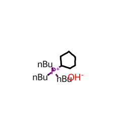 CCCC[P+](CCCC)(CCCC)C1CCCCC1.[OH-]